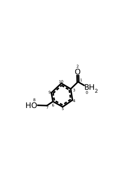 BC(=O)c1ccc(CO)cc1